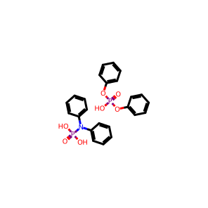 O=P(O)(O)N(c1ccccc1)c1ccccc1.O=P(O)(Oc1ccccc1)Oc1ccccc1